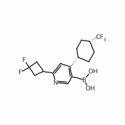 OB(O)c1cnc(C2CC(F)(F)C2)cc1[C@H]1CC[C@@H](C(F)(F)F)CC1